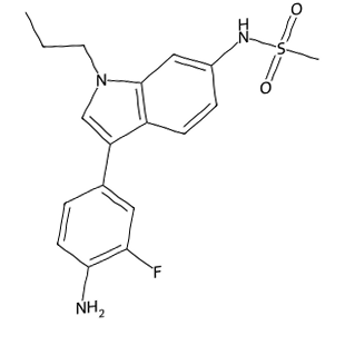 CCCn1cc(-c2ccc(N)c(F)c2)c2ccc(NS(C)(=O)=O)cc21